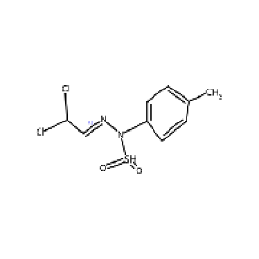 Cc1ccc(N(/N=C/C(Cl)Cl)[SH](=O)=O)cc1